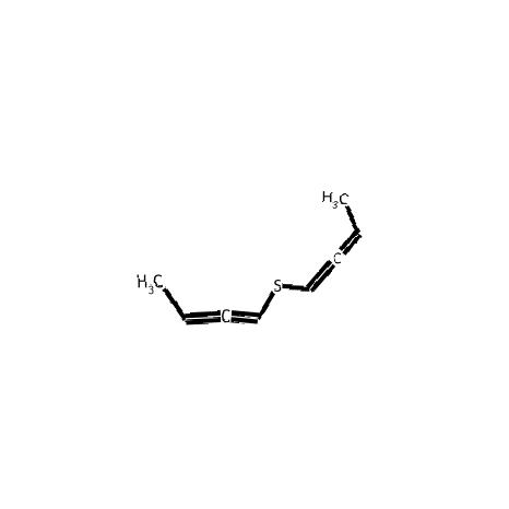 CC=C=CSC=C=CC